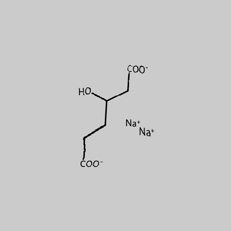 O=C([O-])CCC(O)CC(=O)[O-].[Na+].[Na+]